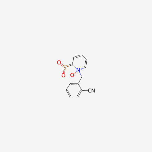 N#Cc1ccccc1C[N+]1([O-])C=CC=CC1=S(=O)=O